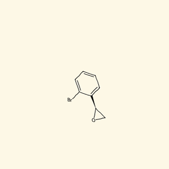 Brc1ccccc1[C@H]1CO1